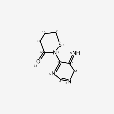 N=C1CN=[C]N=C1N1SCCCC1=O